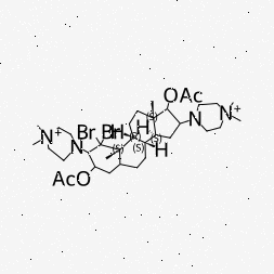 CC(=O)OC1CC2CC[C@@H]3[C@@H](CC[C@]4(C)C(OC(C)=O)C(N5CC[N+](C)(C)CC5)C[C@@H]34)[C@@]2(C)C(Br)(Br)C1N1CC[N+](C)(C)CC1